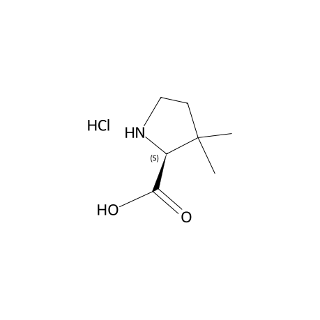 CC1(C)CCN[C@@H]1C(=O)O.Cl